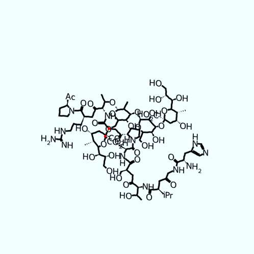 CC(=O)[C@@H]1CCCN1C(=O)[C@H](CCCNC(=N)N)CC(=O)[C@@H](NC(=O)[C@H](CC(=O)O)CC(=O)[C@@H]1CCCN1C(=O)[C@H](C)NC(=O)[C@H](CO)CC(=O)[C@@H](NC(=O)[C@@H](CC(=O)CNC(=O)[C@@H](N)Cc1cnc[nH]1)C(C)C)C(C)O)C(C)O[C@H]1OC(CO[C@]2(C(=O)O)C[C@@H](O)[C@@H](C)C([C@H](O)[C@H](O)CO)O2)[C@H](O)[C@H](O[C@@H]2OC(CO)[C@H](O)[C@H](O[C@]3(C(=O)O)C[C@@H](O)[C@@H](C)C([C@H](O)[C@H](O)CO)O3)C2O)C1C